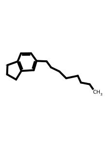 CCCCCCCCc1ccc2c(c1)CC[CH]2